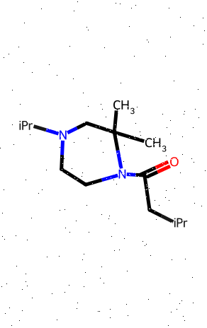 CC(C)CC(=O)N1CCN(C(C)C)CC1(C)C